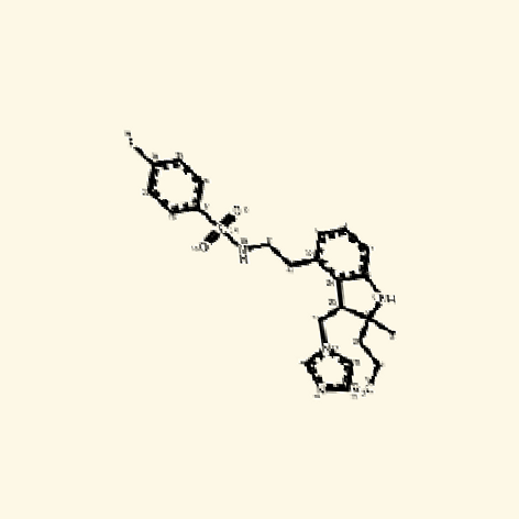 CC1(CCC(=O)O)Nc2cccc(CCNS(=O)(=O)c3ccc(F)cc3)c2C1Cn1ccnc1